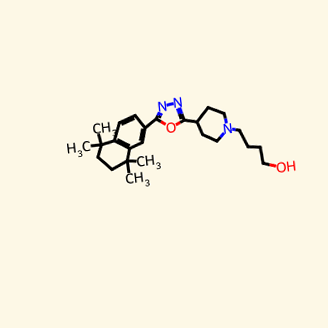 CC1(C)CCC(C)(C)c2cc(-c3nnc(C4CCN(CCCCO)CC4)o3)ccc21